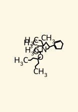 CCCC(CCC)OC(=O)N1CC(C2=CCCC=C2)CC1(C(C)C)C(C)C